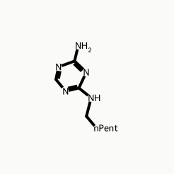 CCCCCCNc1ncnc(N)n1